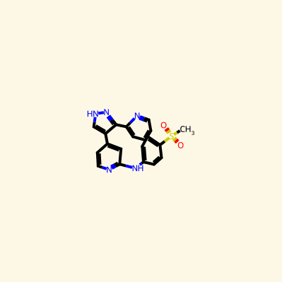 CS(=O)(=O)c1ccc(Nc2cc(-c3c[nH]nc3-c3ccccn3)ccn2)cc1